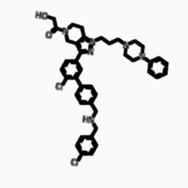 O=C(CO)N1CCc2c(c(-c3ccc(Cl)c(-c4ccc(CNCc5ccc(Cl)cc5)cc4)c3)nn2CCCN2CCN(c3ccccc3)CC2)C1